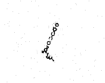 Cc1cc(N2CCC(N3CCN([C@H]4CC[C@H](n5cc6cc(NC(=O)c7ccc8cc(C#N)cnn78)c(C(C)(C)O)cc6n5)CC4)CC3)CC2)cc(C)c1[C@H]1CCC(=O)NC1=O